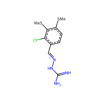 CSc1ccc(/C=N/NC(=N)N)c(Cl)c1SC